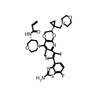 C=CC(=O)N[C@H]1COCCN(c2c3c(nc4c(F)c(-c5ccc(F)c6sc(N)nc56)ncc24)O[C@H](C2(CN4CCOCC4)CC2)CO3)C1